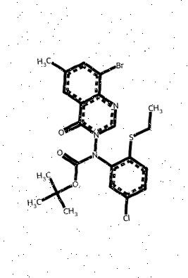 CCSc1ccc(Cl)cc1N(C(=O)OC(C)(C)C)n1cnc2c(Br)cc(C)cc2c1=O